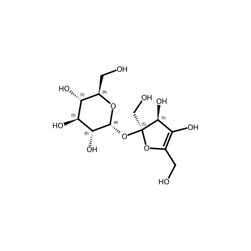 OCC1=C(O)[C@H](O)[C@](CO)(O[C@H]2O[C@H](CO)[C@@H](O)[C@H](O)[C@H]2O)O1